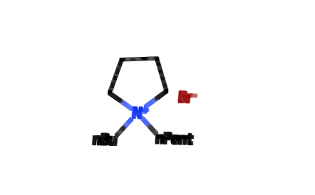 CCCCC[N+]1(CCCC)CCCC1.[Br-]